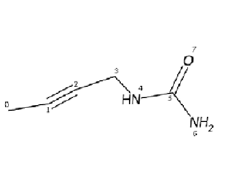 CC#CCNC(N)=O